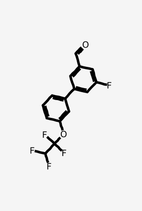 O=Cc1cc(F)cc(-c2cccc(OC(F)(F)C(F)F)c2)c1